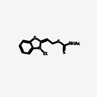 CCN1C(=CCSC(=S)NC(C)=O)Sc2ccccc21